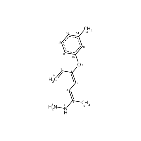 C=C/C(=C\C=C(/C)NN)Oc1cccc(C)c1